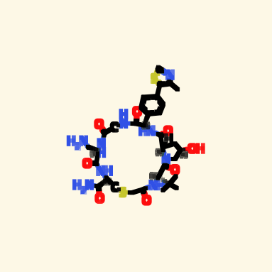 Cc1ncsc1-c1ccc([C@H]2NC(=O)[C@@H]3C[C@@H](O)CN3C(=O)[C@H](C(C)(C)C)NC(=O)CSC[C@@H](C(N)=O)NC(=O)[C@@H](CN)NC(=O)CNC2=O)cc1